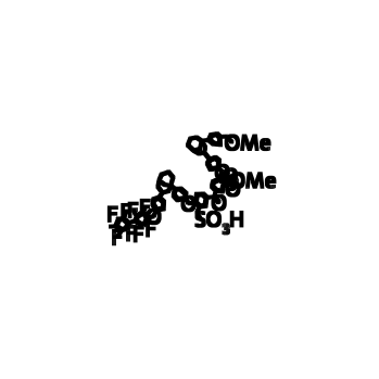 COCc1ccc(C23CCCC(CC(c4ccc(Oc5ccc(C(=O)c6ccc(Oc7ccc(C89CCCC(CC(c%10ccc(Oc%11c(F)c(F)c(-c%12c(F)c(F)c(C)c(F)c%12F)c(F)c%11F)cc%10)C8)C9)cc7)c(CS(=O)(=O)O)c6)cc5S(=O)(=O)OC)cc4)C2)C3)cc1